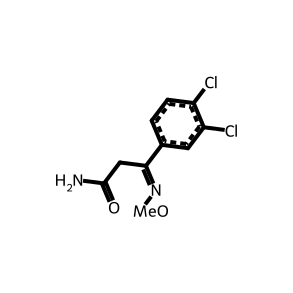 CON=C(CC(N)=O)c1ccc(Cl)c(Cl)c1